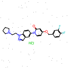 Cl.O=c1cc(OCc2ccc(F)c(F)c2)ccn1-c1ccc2c(cnn2CCN2CCCC2)c1